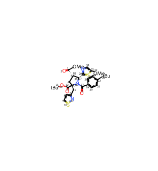 COC(=O)[C@H]1C[C@@](Cc2ccsn2)(C(=O)OC(C)(C)C)N(C(=O)c2ccc(C(C)(C)C)c(OC)c2)[C@H]1c1ncc(C)s1